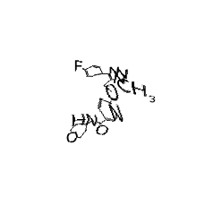 Cn1nnc(-c2ccc(F)cc2)c1COc1ccc(C(=O)NC2CCOCC2)cn1